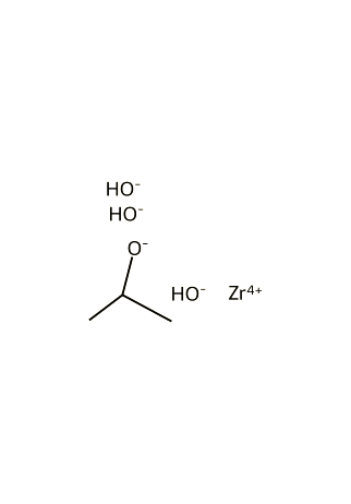 CC(C)[O-].[OH-].[OH-].[OH-].[Zr+4]